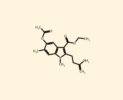 C=C(N)CCc1c(C(=O)OCC)c2cc(OC(C)=O)c(C)cc2n1C